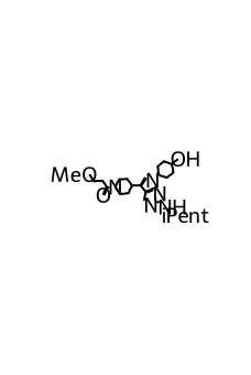 CCCC(C)Nc1ncc2c(C3CCN(C(=O)CCOC)CC3)cn(C3CCC(O)CC3)c2n1